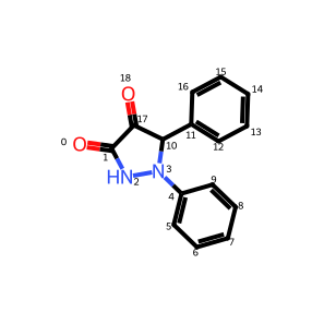 O=C1NN(c2ccccc2)C(c2ccccc2)C1=O